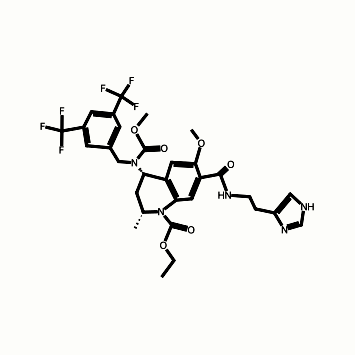 CCOC(=O)N1c2cc(C(=O)NCCc3c[nH]cn3)c(OC)cc2[C@@H](N(Cc2cc(C(F)(F)F)cc(C(F)(F)F)c2)C(=O)OC)C[C@H]1C